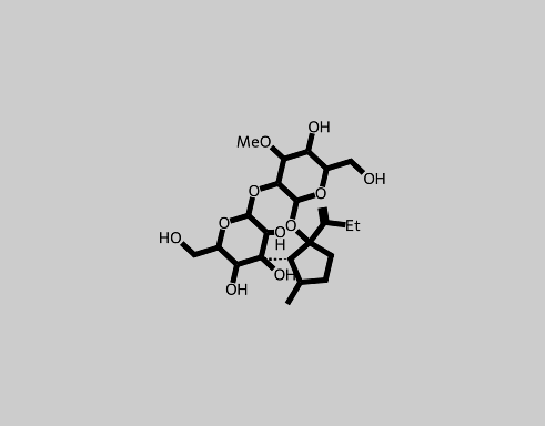 C=C(CC)C1(OC2OC(CO)C(O)C(OC)C2OC2OC(CO)C(O)C(O)C2O)CCC(C)[C@@H]1C